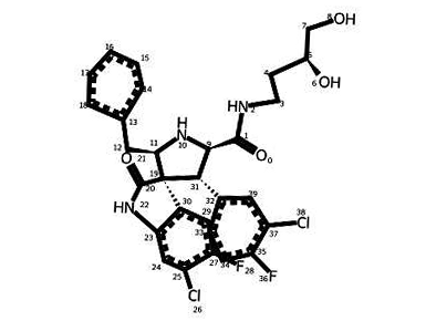 O=C(NCC[C@H](O)CO)[C@@H]1N[C@H](Cc2ccccc2)[C@]2(C(=O)Nc3cc(Cl)c(F)cc32)[C@H]1c1ccc(F)c(Cl)c1